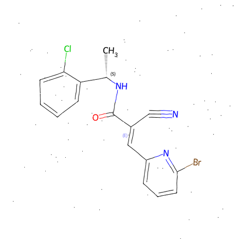 C[C@H](NC(=O)/C(C#N)=C/c1cccc(Br)n1)c1ccccc1Cl